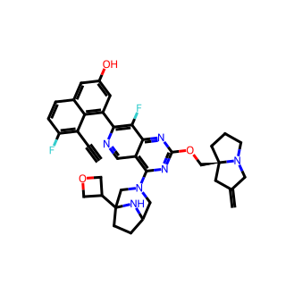 C#Cc1c(F)ccc2cc(O)cc(-c3ncc4c(N5CC6CCC(C7COC7)(C5)N6)nc(OC[C@@]56CCCN5CC(=C)C6)nc4c3F)c12